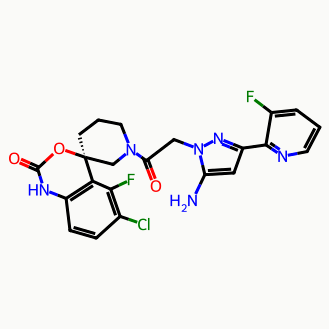 Nc1cc(-c2ncccc2F)nn1CC(=O)N1CCC[C@@]2(C1)OC(=O)Nc1ccc(Cl)c(F)c12